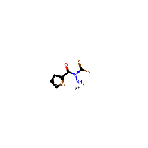 NN(C(=O)c1cccs1)C(=S)[S-].[K+]